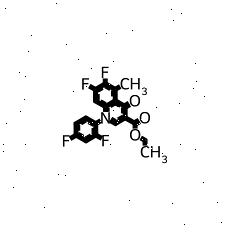 CCOC(=O)c1cn(-c2ccc(F)cc2F)c2cc(F)c(F)c(C)c2c1=O